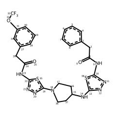 O=C(Cc1ccccc1)Nc1nnc(NC2CCN(c3nnc(NC(=O)Cc4cccc(OC(F)(F)F)c4)s3)CC2)s1